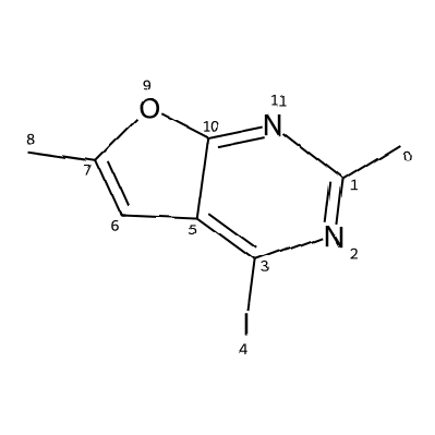 Cc1nc(I)c2cc(C)oc2n1